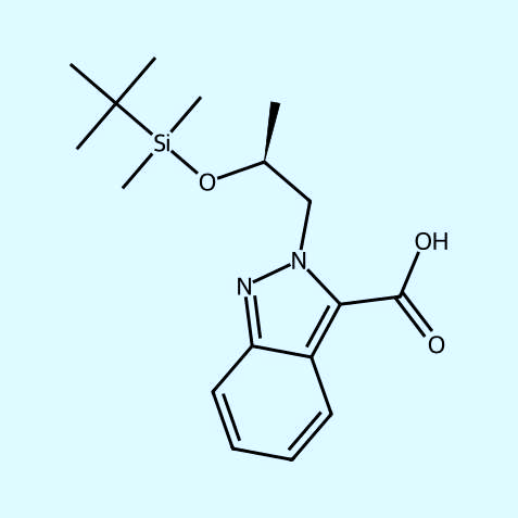 C[C@@H](Cn1nc2ccccc2c1C(=O)O)O[Si](C)(C)C(C)(C)C